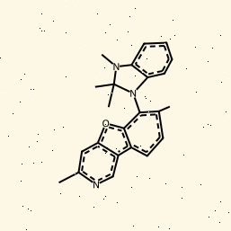 Cc1cc2oc3c(N4c5ccccc5N(C)C4(C)C)c(C)ccc3c2cn1